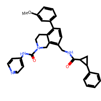 COc1cccc(-c2ccc(CNC(=O)C3CC3c3ccccc3)c3c2CCN(C(=O)Nc2ccncc2)C3)c1